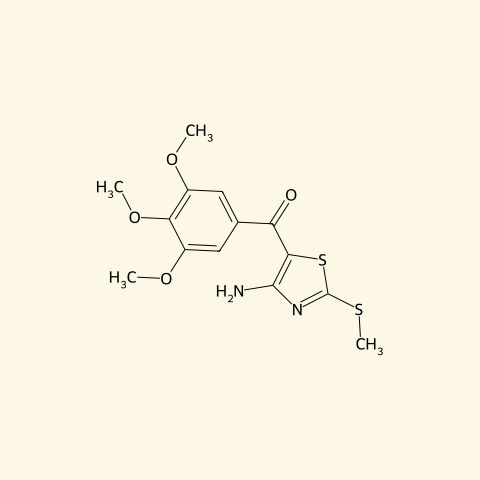 COc1cc(C(=O)c2sc(SC)nc2N)cc(OC)c1OC